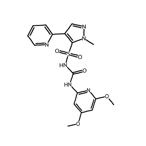 COc1cc(NC(=O)NS(=O)(=O)c2c(-c3ccccn3)cnn2C)nc(OC)c1